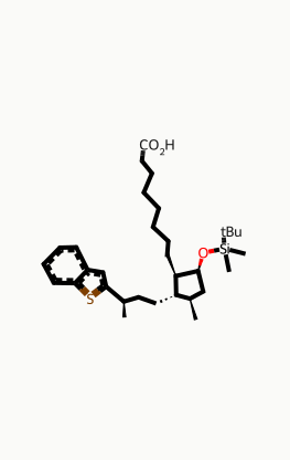 C[C@H](CC[C@@H]1[C@@H](CCCCCCCC(=O)O)[C@@H](O[Si](C)(C)C(C)(C)C)C[C@H]1C)c1cc2ccccc2s1